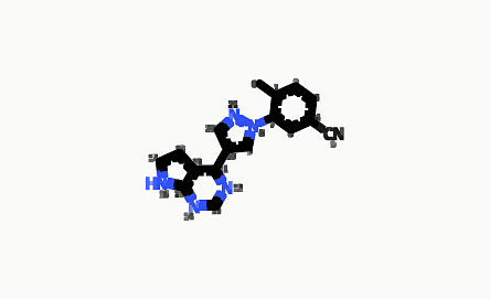 Cc1ccc(C#N)cc1-n1cc(-c2ncnc3[nH]ccc23)cn1